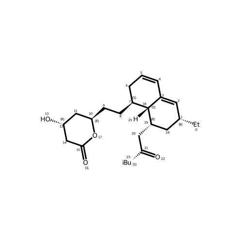 CC[C@H]1C=C2C=CC[C@H](CC[C@@H]3C[C@@H](O)CC(=O)O3)[C@H]2[C@@H](CC(=O)[C@@H](C)CC)C1